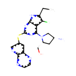 CCc1[nH]c2nc(Sc3cnc4nccnc4c3)nc(N3C[C@H](N)C[C@@H]3CO)c2c1Cl